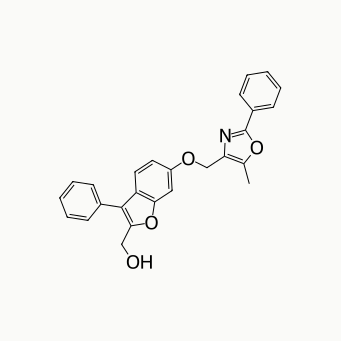 Cc1oc(-c2ccccc2)nc1COc1ccc2c(-c3ccccc3)c(CO)oc2c1